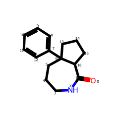 O=C1NCCCC2(c3ccccc3)CCCC12